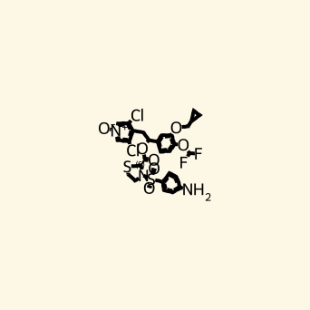 Nc1ccc(S(=O)(=O)N2CCS[C@H]2C(=O)OC(Cc2c(Cl)c[n+]([O-])cc2Cl)c2ccc(OC(F)F)c(OCC3CC3)c2)cc1